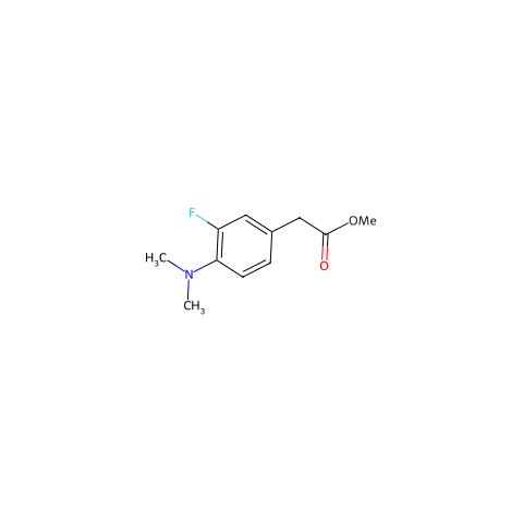 COC(=O)Cc1ccc(N(C)C)c(F)c1